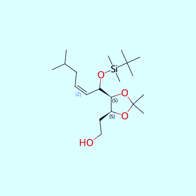 CC(C)C/C=C\C(O[Si](C)(C)C(C)(C)C)[C@H]1OC(C)(C)O[C@H]1CCO